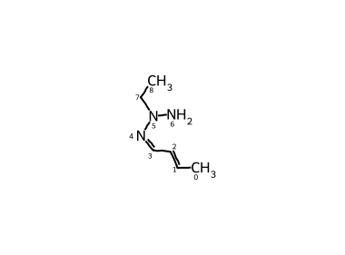 C/C=C/C=N\N(N)CC